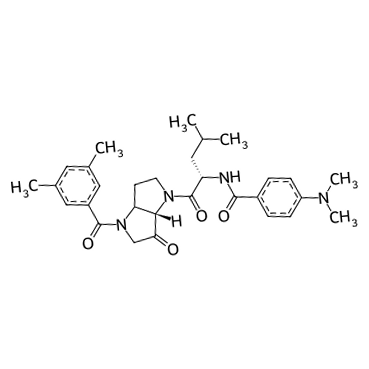 Cc1cc(C)cc(C(=O)N2CC(=O)[C@@H]3C2CCN3C(=O)[C@H](CC(C)C)NC(=O)c2ccc(N(C)C)cc2)c1